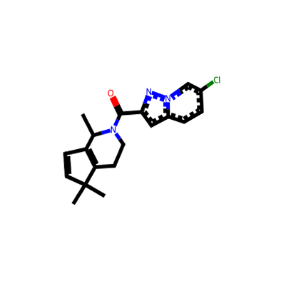 CC1C2=C(CCN1C(=O)c1cc3ccc(Cl)cn3n1)C(C)(C)C=C2